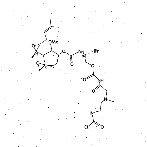 CCC(=O)NCCN(C)CC(=O)NC(=O)OC[C@H](NC(=O)OC1CC[C@]2(CO2)C([C@]2(C)OC2CC=C(C)C)C1OC)C(C)C